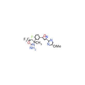 COc1cnc(-c2cc(-c3ccc(F)c([C@]4(C)C[C@@H](C(F)(F)F)OC(N)=N4)c3)on2)nc1